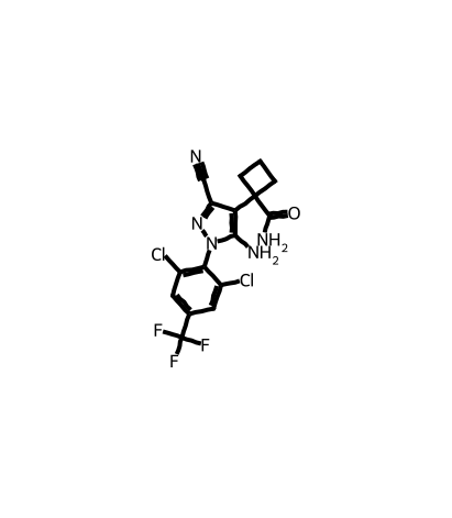 N#Cc1nn(-c2c(Cl)cc(C(F)(F)F)cc2Cl)c(N)c1C1(C(N)=O)CCC1